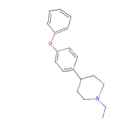 CCN1CCC(c2ccc(Oc3ccccc3)cc2)CC1